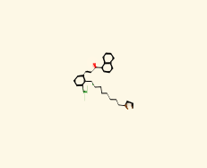 O=C(/C=C/c1cccc(C(F)(F)F)c1CCCCCCCCc1cccs1)c1cccc2ccccc12